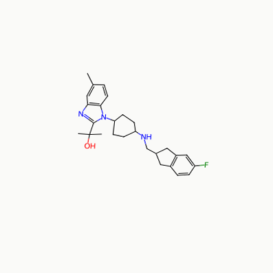 Cc1ccc2c(c1)nc(C(C)(C)O)n2C1CCC(NCC2Cc3ccc(F)cc3C2)CC1